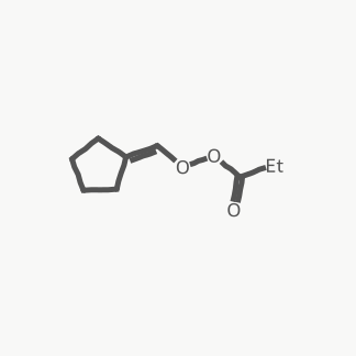 CCC(=O)OOC=C1CCCC1